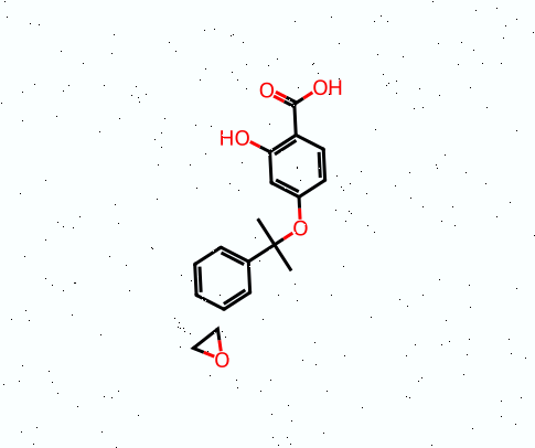 C1CO1.CC(C)(Oc1ccc(C(=O)O)c(O)c1)c1ccccc1